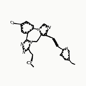 COCc1nnc2n1Cc1c(C#Cc3ccc(C)cn3)ncn1-c1ccc(Cl)cc1-2